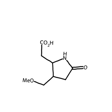 COCC1CC(=O)NC1CC(=O)O